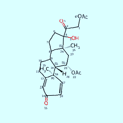 CC(=O)OCC(=O)C1(O)CCC2C3CCC4=CC(=O)C=C[C@]4(C)[C@H]3[C@@H](OC(C)=O)C[C@@]21C